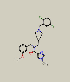 Cn1cnc(C(=O)N(Cc2cccc(OC(F)(F)F)c2)CC2C3CN(Cc4cc(F)ccc4F)CC32)c1